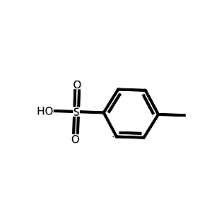 Cc1c[c]c(S(=O)(=O)O)cc1